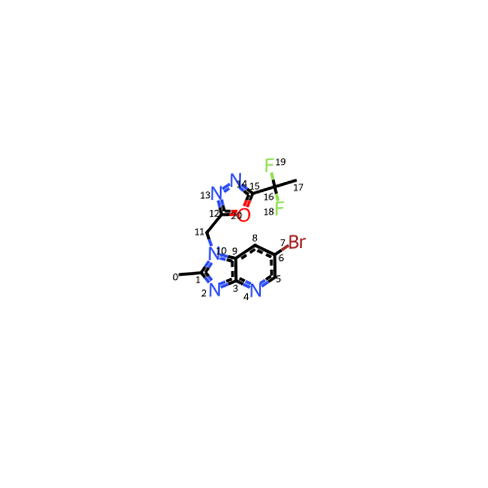 Cc1nc2ncc(Br)cc2n1Cc1nnc(C(C)(F)F)o1